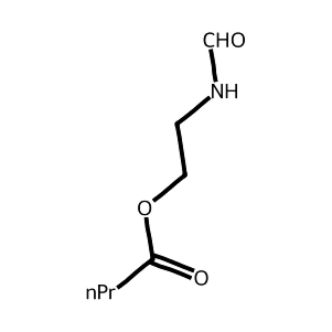 CCCC(=O)OCCNC=O